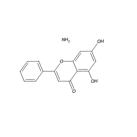 N.O=c1cc(-c2ccccc2)oc2cc(O)cc(O)c12